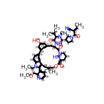 C/C=C(\C#N)C(=O)N1CC[C@H](C(=O)N(C)C(C(=O)N[C@H]2Cc3cc(O)cc(c3)-c3ccc4c(c3)c(c(-c3cccnc3COC)n4CC)CC(C)(C)COC(=O)[C@@H]3CCCN(N3)C2=O)C(C)C)C1